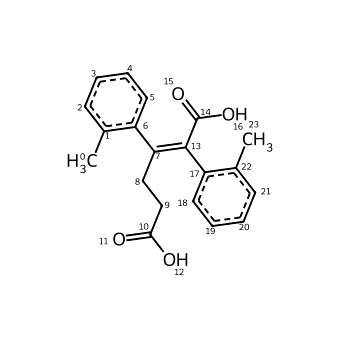 Cc1ccccc1/C(CCC(=O)O)=C(\C(=O)O)c1ccccc1C